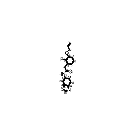 C=CCOc1cccc(CC(=O)Nc2ccc3ncsc3c2)c1F